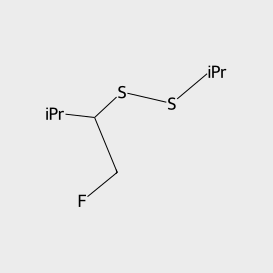 CC(C)SSC(CF)C(C)C